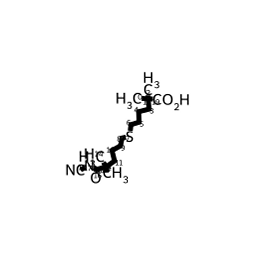 CC(C)(CCCCSCCCCC(C)(C)C(=O)NC#N)C(=O)O